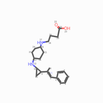 C/C(=C\c1ccccc1)C1CC1NC1CCC(NCCCC(=O)O)CC1